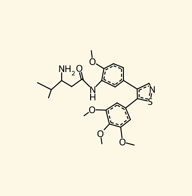 COc1ccc(-c2cnsc2-c2cc(OC)c(OC)c(OC)c2)cc1NC(=O)CC(N)C(C)C